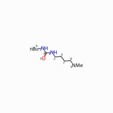 CCCCNC(=O)NCCCCNC